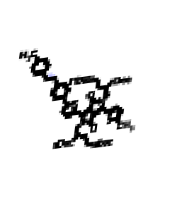 CCCCCCCCCCCCC(CCCCCCCCCC)CN1C(=O)C2=C(c3ccc(-c4ccc(/C=C/c5ccc(C)cc5)cc4)s3)N(CC(CCCCCCCCCC)CCCCCCCCCCCC)C(=O)C2=C1c1ccc(C)s1